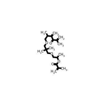 C=C(C)C(=O)OC(C)COCC(C)(C)COCC(C)C(=C)C(=O)C(=C)C